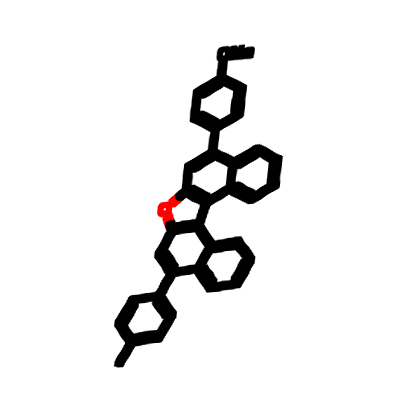 COc1ccc(-c2cc3oc4cc(-c5ccc(C)cc5)c5ccccc5c4c3c3ccccc23)cc1